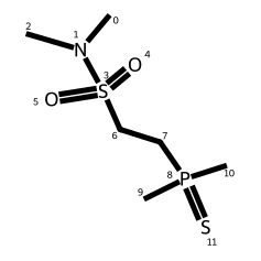 CN(C)S(=O)(=O)CCP(C)(C)=S